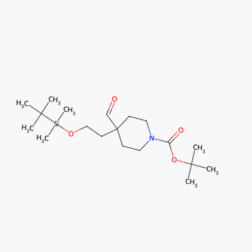 CC(C)(C)OC(=O)N1CCC(C=O)(CCO[Si](C)(C)C(C)(C)C)CC1